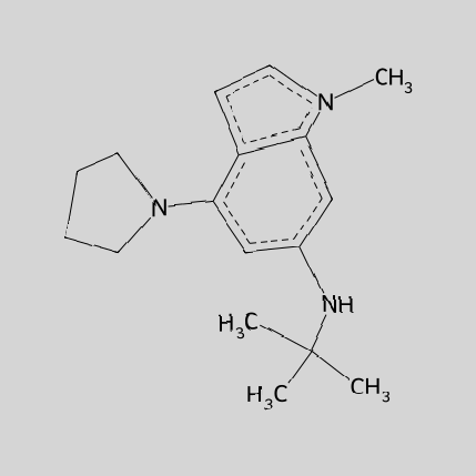 Cn1ccc2c(N3CCCC3)cc(NC(C)(C)C)cc21